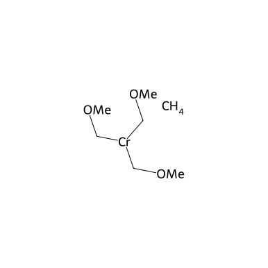 C.CO[CH2][Cr]([CH2]OC)[CH2]OC